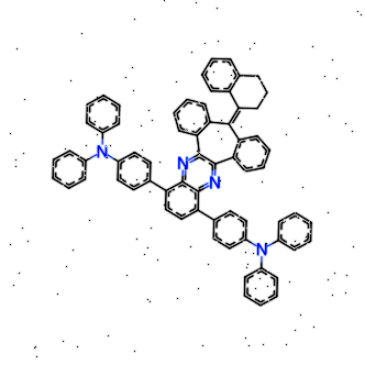 c1ccc(N(c2ccccc2)c2ccc(-c3ccc(-c4ccc(N(c5ccccc5)c5ccccc5)cc4)c4nc5c(nc34)-c3ccccc3C(=C3CCCc4ccccc43)c3ccccc3-5)cc2)cc1